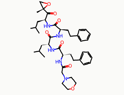 CC(C)C[C@H](NC(=O)[C@@H](CCc1ccccc1)NC(=O)[C@@H](CC(C)C)NC(=O)[C@H](CCc1ccccc1)NC(=O)CN1CCOCC1)C(=O)[C@]1(C)CO1